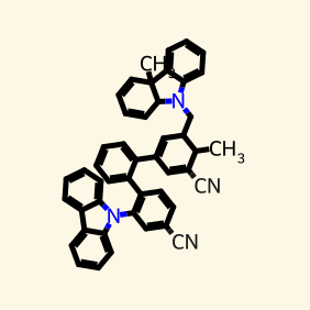 CC1C(C#N)=CC(c2ccccc2-c2ccc(C#N)cc2-n2c3ccccc3c3ccccc32)=CC1CN1c2ccccc2C2(C)C=CC=CC12